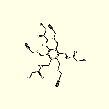 C#CCOCc1c(CNC(=O)CBr)c(COCC#C)c(NCC(=O)CBr)c(COCC#C)c1CNC(=O)CBr